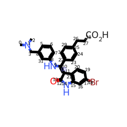 CN(C)Cc1cccc(N/C(=C2\C(=O)Nc3cc(Br)ccc32)c2ccc(CCC(=O)O)cc2)c1